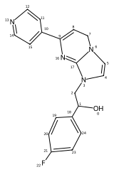 OC(CN1C=CN2CC=C(c3ccncc3)N=C21)c1ccc(F)cc1